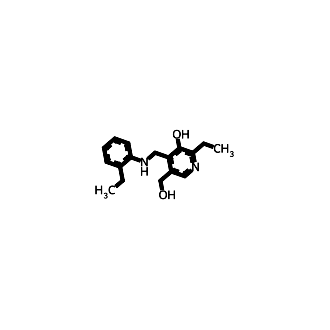 CCc1ccccc1NCc1c(CO)cnc(CC)c1O